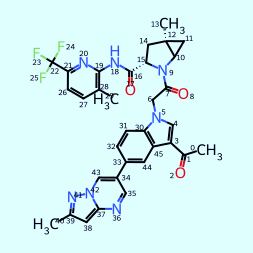 CC(=O)c1cn(CC(=O)N2C3C[C@]3(C)C[C@H]2C(=O)Nc2nc(C(F)(F)F)ccc2C)c2ccc(-c3cnc4cc(C)nn4c3)cc12